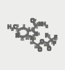 Cc1cc2c(C(N)=O)nn(CC(=O)OC(=O)C(F)(F)F)c2cn1